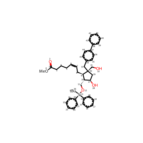 COC(=O)CCC/C=C\C[C@@H]1[C@@H](CO[Si](c2ccccc2)(c2ccccc2)C(C)(C)C)[C@H](O)C[C@@]1(CO)Cc1ccc(-c2ccccc2)cc1